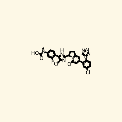 CN(C(=O)O)c1ccc(-c2[nH]c(C3CCc4cc(-c5cc(Cl)ccc5-n5cnnn5)cc(=O)n43)nc2Cl)c(F)c1